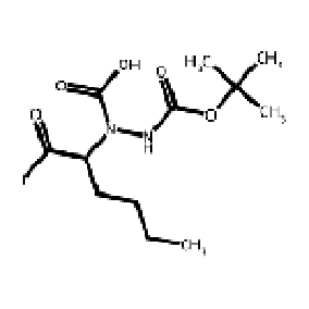 CCCCC(C(=O)I)N(NC(=O)OC(C)(C)C)C(=O)O